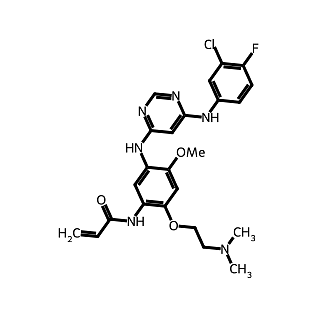 C=CC(=O)Nc1cc(Nc2cc(Nc3ccc(F)c(Cl)c3)ncn2)c(OC)cc1OCCN(C)C